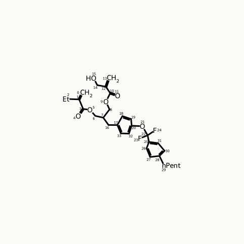 C=C(CC)C(=O)OCC(COC(=O)C(=C)CO)Cc1ccc(OC(F)(F)c2ccc(CCCCC)cc2)cc1